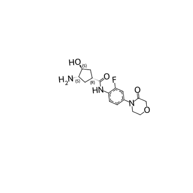 N[C@H]1C[C@@H](C(=O)Nc2ccc(N3CCOCC3=O)cc2F)C[C@@H]1O